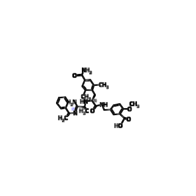 C=C(/N=C(\N)[C@H](C)N[C@@H](Cc1c(C)cc(C(N)=O)cc1C)C(=O)NCc1ccc(OC)c(C(=O)O)c1)c1ccccc1